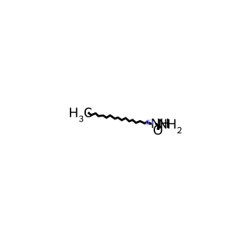 CCCCCCCCCCCCCCCC/C=C/NC(N)=O